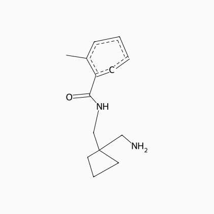 Cc1ccccc1C(=O)NCC1(CN)CCC1